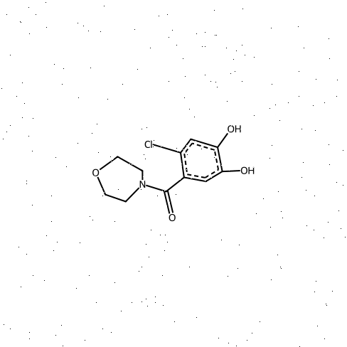 O=C(c1cc(O)c(O)cc1Cl)N1CCOCC1